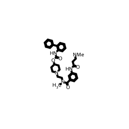 CNCCC(=O)Nc1cccc(C(=O)N(C)CCN2CCC(OC(=O)Nc3ccccc3-c3ccccc3)CC2)c1